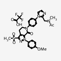 COc1ccc(-n2nc(S(C)(=O)=O)c3c2C(=O)N(c2ccc(-n4ccnc4CN(C)C(C)=O)cc2)CC3)cc1.O=C(O)C(F)(F)F